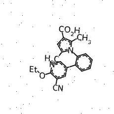 CCOc1ncc(-c2ccccc2-n2c(C)cc(C(=O)O)c2C)cc1C#N